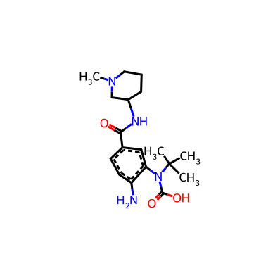 CN1CCCC(NC(=O)c2ccc(N)c(N(C(=O)O)C(C)(C)C)c2)C1